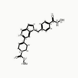 CC(C)(C)OC(=O)N1CC=C(c2cc3c(ccn3Cc3ccc(C(=O)NO)cc3)cn2)CC1